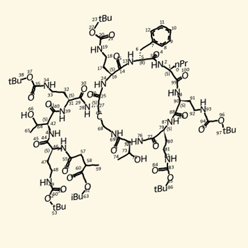 CCC[C@@H]1NC(=O)[C@@H](Cc2ccccc2)NC(=O)[C@H](CCNC(=O)OC(C)(C)C)NC(=O)[C@@H](NC(=O)[C@H](CCNC(=O)OC(C)(C)C)NC(=O)[C@@H](NC(=O)[C@H](CCNC(=O)OC(C)(C)C)NC(=O)CC(C)C(=O)OC(C)CC)C(C)O)CCNC(=O)[C@H](C(C)O)NC(=O)[C@H](CCNC(=O)OC(C)(C)C)NC(=O)[C@H](CCNC(=O)OC(C)(C)C)NC1=O